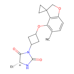 CC[C@H]1NC(=O)N(C2CC(Oc3c(C#N)ccc4c3C3(CC3)CO4)C2)C1=O